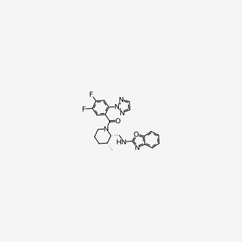 C[C@@H]1CCCN(C(=O)c2cc(F)c(F)cc2-n2nccn2)[C@@H]1CNc1nc2ccccc2o1